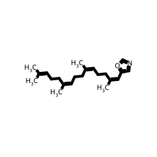 CC(C)=CCCC(C)=CCCC(C)=CCCC(C)=Cc1cnco1